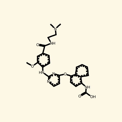 COc1cc(C(=O)NCCN(C)C)ccc1Nc1nccc(Oc2ccc(NC(=O)O)c3ccccc23)n1